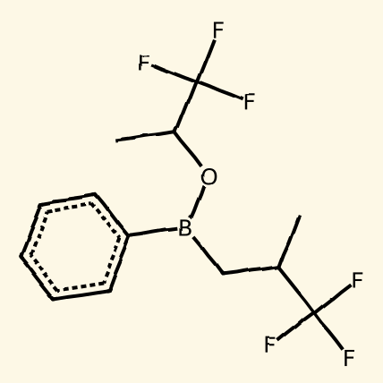 CC(CB(OC(C)C(F)(F)F)c1ccccc1)C(F)(F)F